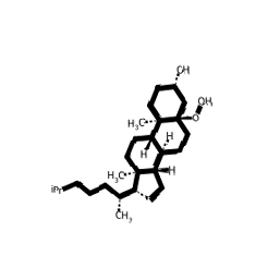 CC(C)CCC[C@@H](C)[C@H]1CC[C@H]2[C@@H]3CC[C@@]4(OO)C[C@@H](O)CC[C@]4(C)[C@H]3CC[C@]12C